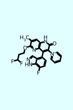 Cc1cc2[nH]c(=O)c(-[n+]3ccccc3)c(-c3ccc(F)c4[nH]ncc34)c2nc1OCCC(F)F